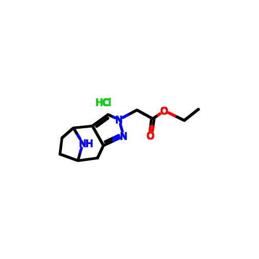 CCOC(=O)Cn1cc2c(n1)CC1CCC2N1.Cl